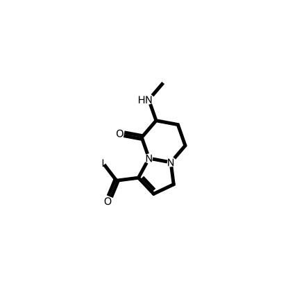 CNC1CCN2CC=C(C(=O)I)N2C1=O